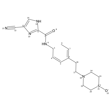 C/C=C(\C=C/CNC(=O)c1nc(C#N)c[nH]1)CCN1CC[S+]([O-])CC1